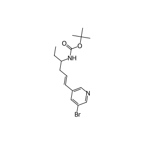 CCC(CC=Cc1cncc(Br)c1)NC(=O)OC(C)(C)C